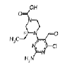 CC[C@H]1CN(C(=O)O)CCN1c1nc(N)nc(Cl)c1C=O